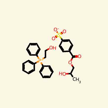 CC(O)COC(=O)c1ccc(S(=O)(=O)[O-])cc1.OCC[P+](c1ccccc1)(c1ccccc1)c1ccccc1